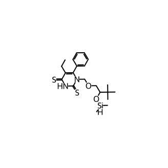 CCc1c(-c2ccccc2)n(COCC(O[SiH](C)C)C(C)(C)C)c(=S)[nH]c1=S